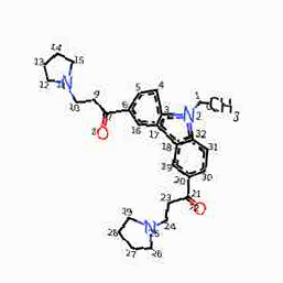 CCn1c2ccc(C(=O)CCN3CCCC3)cc2c2cc(C(=O)CCN3CCCC3)ccc21